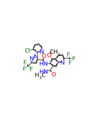 CNC(=O)c1cc2nc(C(F)(F)F)ccc2c(OC)c1NC(=O)c1cc(C(F)(F)F)nn1-c1ncccc1Cl